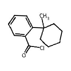 CC1(c2ccccc2C(=O)Cl)CCCCC1